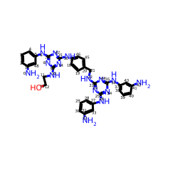 Nc1cccc(Nc2nc(NCCO)nc(Nc3ccc(CNc4nc(Nc5cccc(N)c5)nc(Nc5cccc(N)c5)n4)cc3)n2)c1